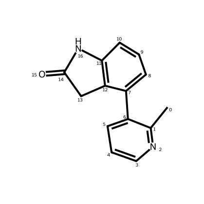 Cc1ncccc1-c1cccc2c1CC(=O)N2